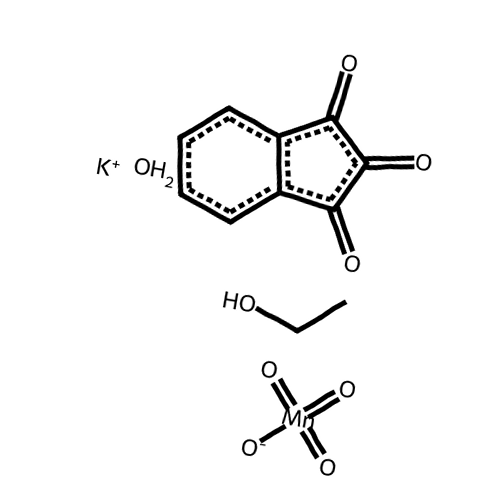 CCO.O.O=c1c(=O)c2ccccc2c1=O.[K+].[O]=[Mn](=[O])(=[O])[O-]